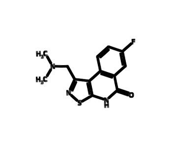 CN(C)Cc1nsc2[nH]c(=O)c3cc(F)ccc3c12